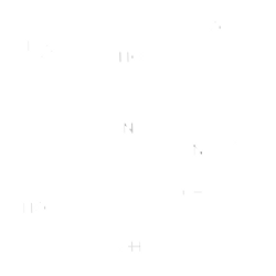 C=CC[N+](CCO)(CCO)C(C(O)CO)N(C)C